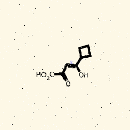 O=C(O)C(=O)/C=C(\O)C1CCC1